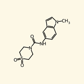 Cn1ccc2cc(NC(=O)N3CCS(=O)(=O)CC3)ccc21